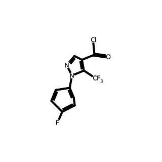 O=C(Cl)c1cnn(-c2ccc(F)cc2)c1C(F)(F)F